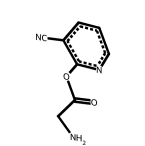 N#Cc1cccnc1OC(=O)CN